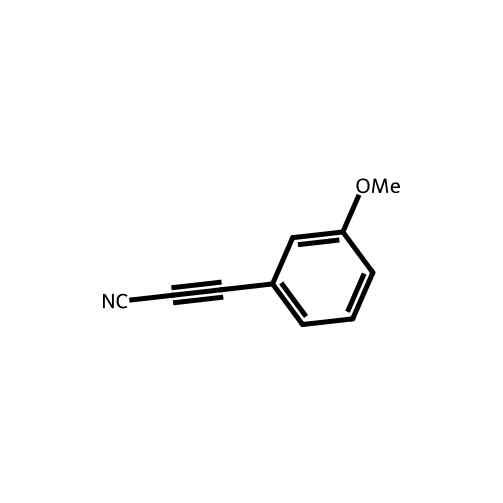 COc1cccc(C#CC#N)c1